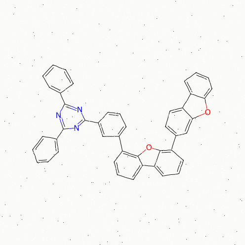 c1ccc(-c2nc(-c3ccccc3)nc(-c3cccc(-c4cccc5c4oc4c(-c6ccc7c(c6)oc6ccccc67)cccc45)c3)n2)cc1